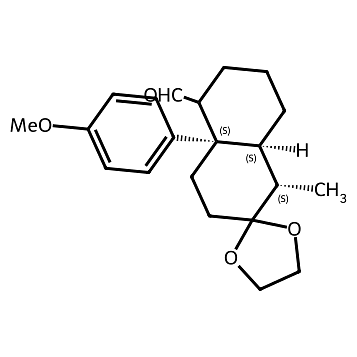 COc1ccc([C@@]23CCC4(OCCO4)[C@@H](C)[C@@H]2CCCC3C=O)cc1